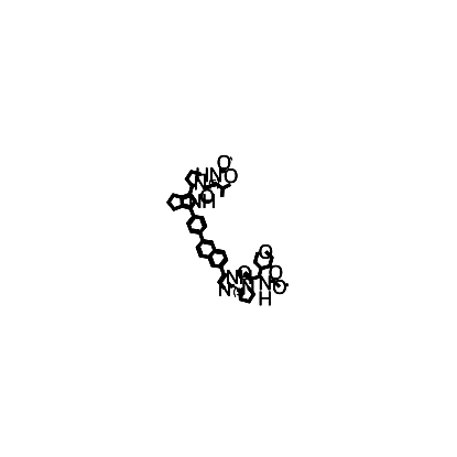 COC(=O)NC(C(=O)N1CCC[C@H]1c1ncc(-c2ccc3cc(-c4ccc(-c5[nH]c(C6CCCN6C(=O)[C@@H](NC(=O)OC)C(C)C)c6c5CCC6)cc4)ccc3c2)[nH]1)C1CCOCC1